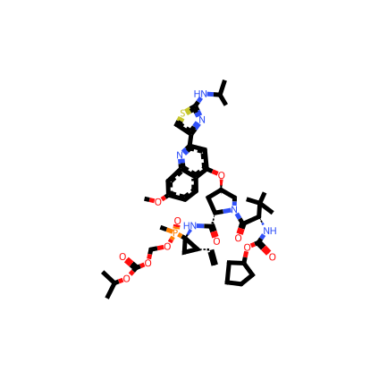 C=C[C@@H]1C[C@]1(NC(=O)[C@@H]1C[C@@H](Oc2cc(-c3csc(NC(C)C)n3)nc3cc(OC)ccc23)CN1C(=O)[C@@H](NC(=O)OC1CCCC1)C(C)(C)C)P(C)(=O)OCOC(=O)OC(C)C